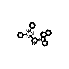 c1ccc(-c2nc(-c3ccccc3)nc(-c3cncc(-n4c5ccccc5c5c6ccccc6ccc54)c3)n2)cc1